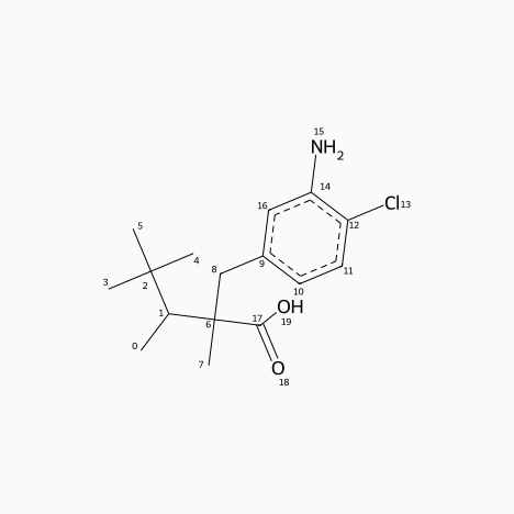 CC(C(C)(C)C)C(C)(Cc1ccc(Cl)c(N)c1)C(=O)O